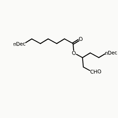 CCCCCCCCCCCCCCCC(=O)OC(CC=O)CCCCCCCCCCCC